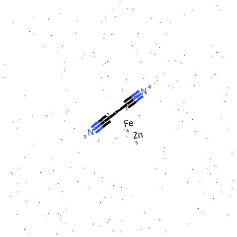 N#CC#N.[Fe].[Zn]